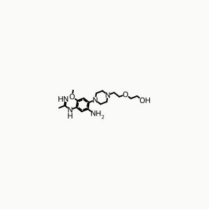 COc1cc(N2CCN(CCOCCO)CC2)c(N)cc1NC(C)=N